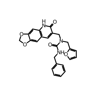 O=C(NCc1ccccc1)N(Cc1ccco1)Cc1cc2cc3c(cc2[nH]c1=O)OCO3